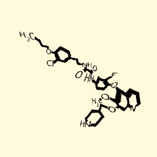 CCCCOc1ccc(CCNC(=O)C(=O)Nc2ccc(Oc3c(OC)c(OCC4CCNCC4)cc4ncccc34)c(F)c2)cc1Cl